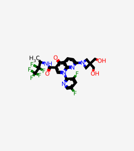 CC(NC(=O)c1cn(-c2ncc(F)cc2F)c2nc(N3CC(CO)(CO)C3)ccc2c1=O)C(F)(F)C(F)(F)F